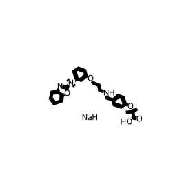 CC(C)(Oc1ccc(CNCCCOc2cccc([N+](C)(C)c3nc4ccccc4o3)c2)cc1)C(=O)O.[NaH]